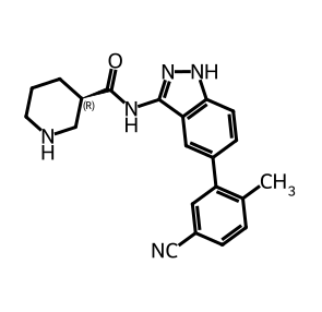 Cc1ccc(C#N)cc1-c1ccc2[nH]nc(NC(=O)[C@@H]3CCCNC3)c2c1